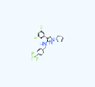 Fc1cc(F)cc(-c2cn(-c3ccccc3)nc2NCc2ccc(C(F)(F)F)cc2)c1